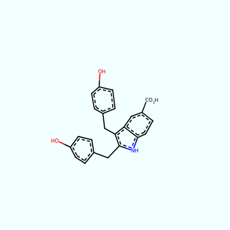 O=C(O)c1ccc2[nH]c(Cc3ccc(O)cc3)c(Cc3ccc(O)cc3)c2c1